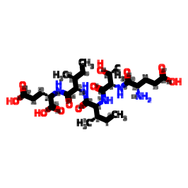 CC[C@H](C)[C@H](NC(=O)[C@@H](NC(=O)[C@@H](N)CCC(=O)O)[C@@H](C)O)C(=O)N[C@H](C(=O)N[C@@H](CCC(=O)O)C(=O)O)[C@@H](C)CC